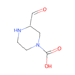 O=CC1CN(C(=O)O)CCN1